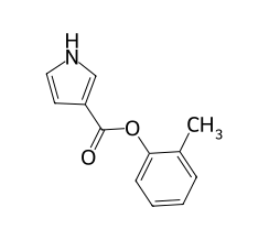 Cc1ccccc1OC(=O)c1cc[nH]c1